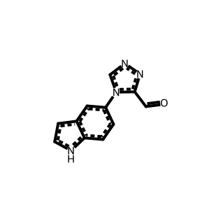 O=Cc1nncn1-c1ccc2[nH]ccc2c1